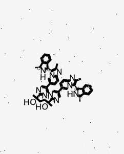 Cc1nc2ccc(-c3cnc(C(C)(O)CCC(C)(O)c4ncc(-c5ccc6nc(C)c([C@H]7N[C@@H](C)c8ccccc87)n6c5)cn4)nc3)cn2c1[C@@H]1N[C@H](C)c2ccccc21